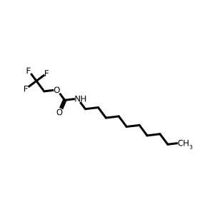 CCCCCCCCCCNC(=O)OCC(F)(F)F